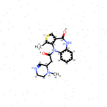 Cc1scc2c1N(C(=O)CC1C#[N+]CCN1C)c1ccccc1NC2=O